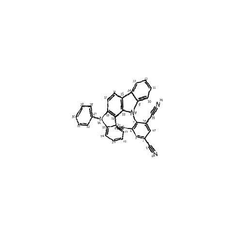 N#Cc1cc(C#N)c(-n2c3ccccc3c3ccc4c(c5ccccc5n4-c4ccccc4)c32)c(C#N)c1